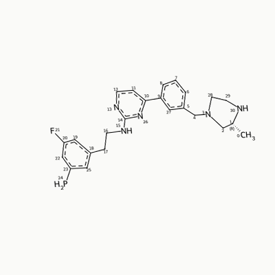 C[C@@H]1CN(Cc2cccc(-c3ccnc(NCCc4cc(F)cc(P)c4)n3)c2)CCN1